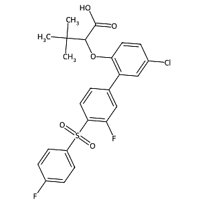 CC(C)(C)C(Oc1ccc(Cl)cc1-c1ccc(S(=O)(=O)c2ccc(F)cc2)c(F)c1)C(=O)O